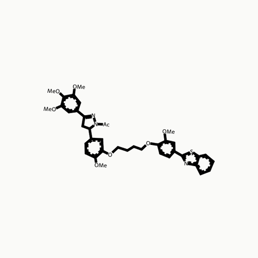 COc1cc(-c2nc3ccccc3s2)ccc1OCCCCOc1cc(C2CC(c3cc(OC)c(OC)c(OC)c3)=NN2C(C)=O)ccc1OC